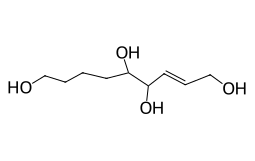 OCC=CC(O)C(O)CCCCO